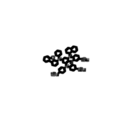 CC(C)(C)c1ccc(N2c3ccc(C(C)(C)C)cc3B3c4cc(C(C)(C)C)ccc4N(c4cccc5ccccc45)c4cc(N(c5ccccc5)c5cccc6c5oc5ccccc56)cc2c43)cc1